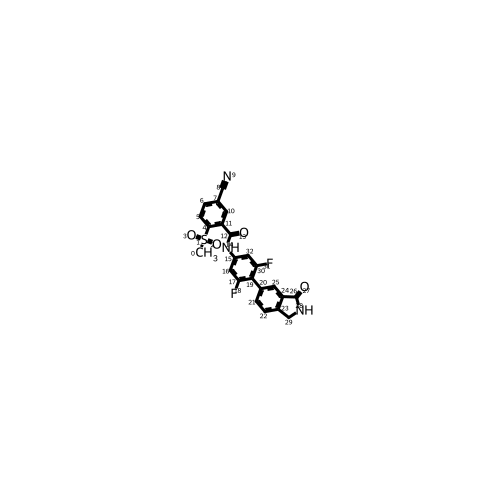 CS(=O)(=O)c1ccc(C#N)cc1C(=O)Nc1cc(F)c(-c2ccc3c(c2)C(=O)NC3)c(F)c1